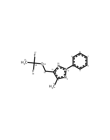 Cc1nn(-c2ccccc2)nc1COC(C)(F)F